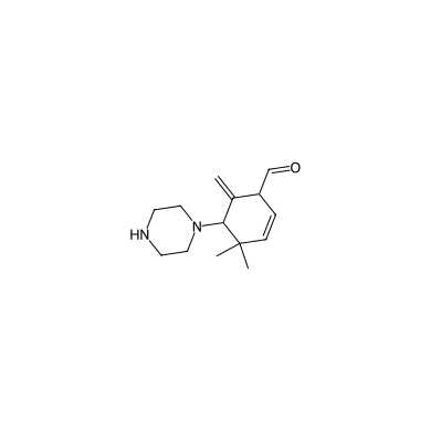 C=C1C(C=O)C=CC(C)(C)C1N1CCNCC1